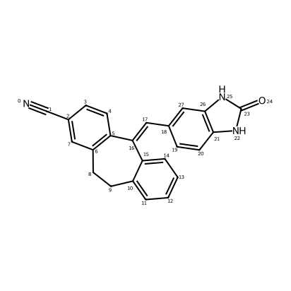 N#Cc1ccc2c(c1)CCc1ccccc1/C2=C\c1ccc2[nH]c(=O)[nH]c2c1